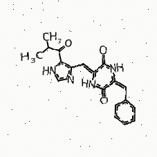 CC(C)C(=O)c1[nH]cnc1C=c1[nH]c(=O)c(=Cc2ccccc2)[nH]c1=O